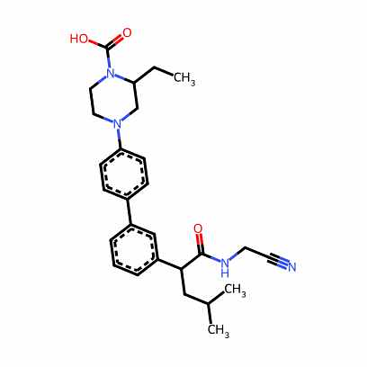 CCC1CN(c2ccc(-c3cccc(C(CC(C)C)C(=O)NCC#N)c3)cc2)CCN1C(=O)O